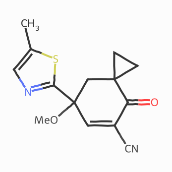 COC1(c2ncc(C)s2)C=C(C#N)C(=O)C2(CC2)C1